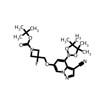 CC(C)(C)OC(=O)N1CC(F)(COc2cc(B3OC(C)(C)C(C)(C)O3)c3c(C#N)cnn3c2)C1